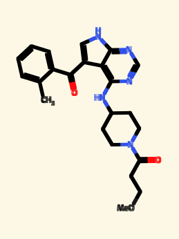 COCCC(=O)N1CCC(Nc2ncnc3[nH]cc(C(=O)c4ccccc4C)c23)CC1